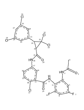 CC(=O)Nc1cc(F)cc(F)c1NC(=O)c1cc(NC(=O)C2C(c3cc(Cl)cc(Cl)c3)C2(Cl)Cl)ccc1Cl